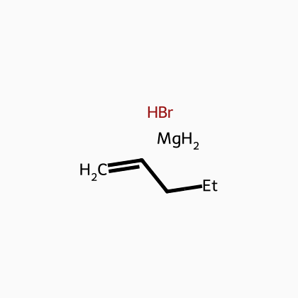 Br.C=CCCC.[MgH2]